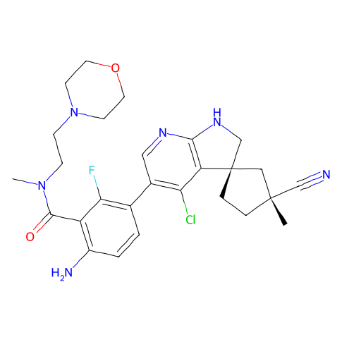 CN(CCN1CCOCC1)C(=O)c1c(N)ccc(-c2cnc3c(c2Cl)[C@]2(CC[C@@](C)(C#N)C2)CN3)c1F